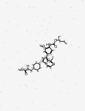 CCC[C@H](C)OC(=O)Nc1ccc(-c2nc([C@H]3CC[C@H](CNC(=O)OC)CC3)n3ccnc(C)c23)cc1OC